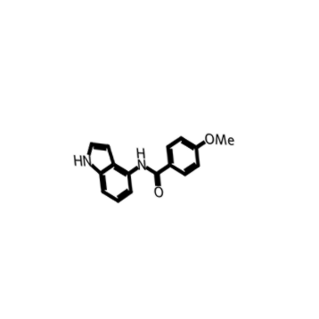 COc1ccc(C(=O)Nc2cccc3[nH]ccc23)cc1